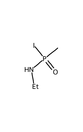 CCNP(C)(=O)I